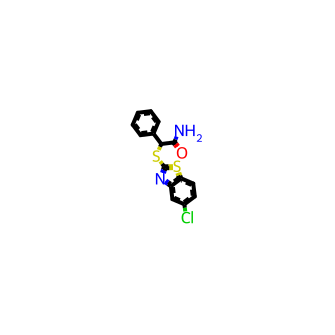 NC(=O)C(Sc1nc2cc(Cl)ccc2s1)c1ccccc1